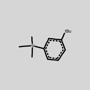 CC(C)(C)c1cccc([Si](C)(C)C)c1